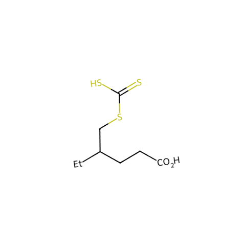 CCC(CCC(=O)O)CSC(=S)S